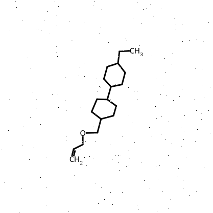 C=CCOCC1CCC(C2CCC(CC)CC2)CC1